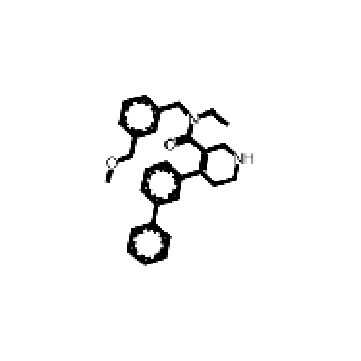 CCN(Cc1cccc(COC)c1)C(=O)C1=C(c2cccc(-c3ccccc3)c2)CCNC1